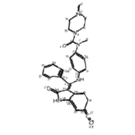 CN1CCN(C(=O)N(C)c2ccc(NC(=C3C(=O)NC4=CC(=C=O)CC=C43)c3ccccc3)cc2)CC1